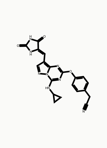 N#CCc1ccc(Oc2nc(NC3CC3)n3ncc(/C=C4\NC(=O)NC4=O)c3n2)cc1